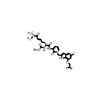 COC(=O)N[C@@H](CC/C=C/C(=O)N(C)C)C(=O)Nc1cccn(Cc2cc3cc(F)cc(OCC(F)F)c3[nH]2)c1=O